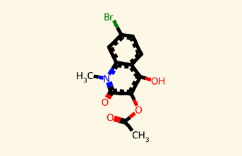 CC(=O)Oc1c(O)c2ccc(Br)cc2n(C)c1=O